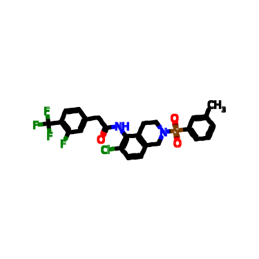 Cc1cccc(S(=O)(=O)N2CCc3c(ccc(Cl)c3NC(=O)Cc3ccc(C(F)(F)F)c(F)c3)C2)c1